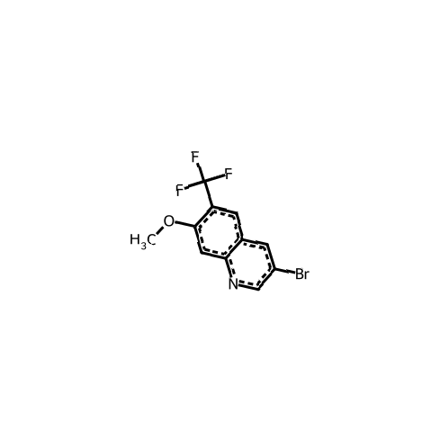 COc1cc2ncc(Br)cc2cc1C(F)(F)F